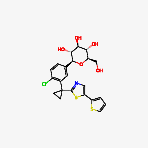 OC[C@H]1O[C@@H](c2ccc(Cl)c(C3(c4ncc(-c5cccs5)s4)CC3)c2)[C@H](O)[C@@H](O)[C@@H]1O